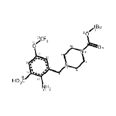 CC(C)(C)OC(=O)N1CCN(Cc2cc(OC(F)(F)F)cc(C(=O)O)c2N)CC1